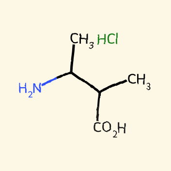 CC(N)C(C)C(=O)O.Cl